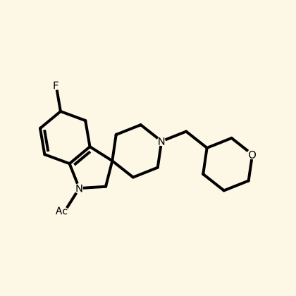 CC(=O)N1CC2(CCN(CC3CCCOC3)CC2)C2=C1C=CC(F)C2